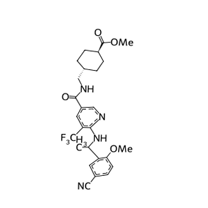 COc1ccc(C#N)cc1C(C)Nc1ncc(C(=O)NC[C@H]2CC[C@H](C(=O)OC)CC2)cc1C(F)(F)F